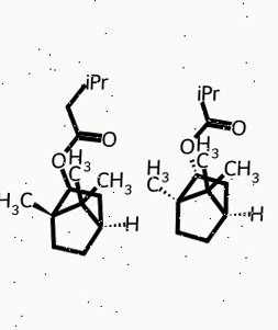 CC(C)C(=O)O[C@@H]1C[C@H]2CC[C@]1(C)C2(C)C.CC(C)CC(=O)OC1C[C@H]2CC[C@@]1(C)C2(C)C